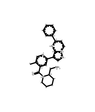 Cc1cnc(-c2cnn3ccc(-c4ccccc4)nc23)cc1C(=O)N1CCCCC1CN